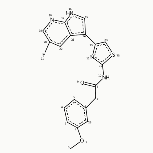 COc1cccc(CC(=O)Nc2nc(-c3c[nH]c4ncc(F)cc34)cs2)c1